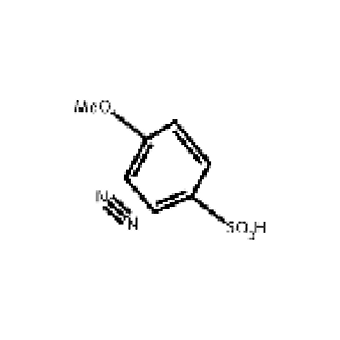 COc1ccc(S(=O)(=O)O)cc1.N#N